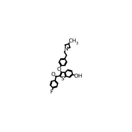 CC1CN(CCc2ccc(Oc3c(C(=O)c4ccc(F)cc4)sc4cc(O)ccc34)cc2)C1